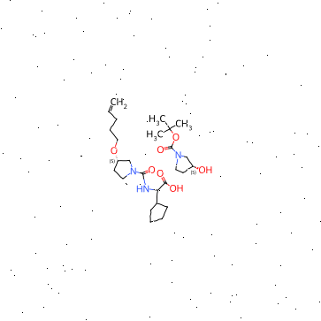 C=CCCCO[C@H]1CCN(C(=O)NC(C(=O)O)C2CCCC2)C1.CC(C)(C)OC(=O)N1CC[C@H](O)C1